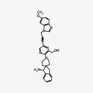 COc1ccc2ncn(CC#Cc3cnc(N4CCC5(CC4)Cc4ccccc4[C@H]5N)c(CO)n3)c2c1